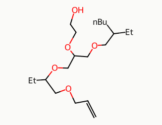 C=CCOCC(CC)OCC(COCC(CC)CCCC)OCCO